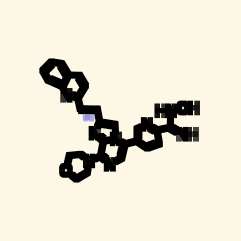 N=C(NO)c1ccc(-c2cnc(N3CCOCC3)c3nc(/C=C/c4ccc5ccccc5n4)cn23)cn1